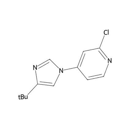 CC(C)(C)c1cn(-c2ccnc(Cl)c2)cn1